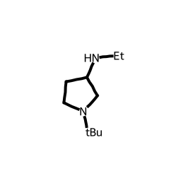 CCNC1CCN(C(C)(C)C)C1